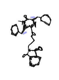 Cn1c(=O)/c(=C/c2ccccc2)nc(OCCCN2C(=O)c3ccccc3C2=O)/c1=C/c1ccccc1